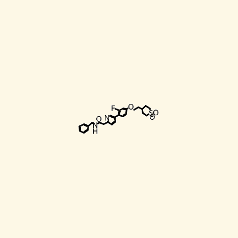 O=C(Cc1ccc(-c2ccc(OCCC3CCS(=O)(=O)CC3)cc2F)cn1)NCc1ccccc1